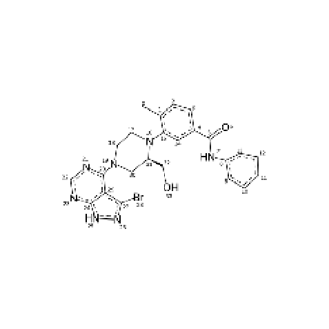 Cc1ccc(C(=O)Nc2ccccc2)cc1N1CCN(c2ncnc3[nH]nc(Br)c23)C[C@@H]1CO